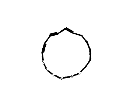 C1=C\SSSSSSCCCCC/C=C/C=C/1